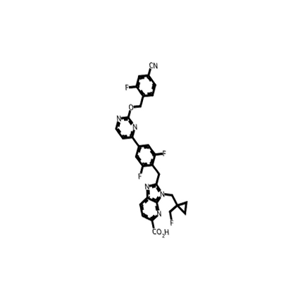 N#Cc1ccc(COc2nccc(-c3cc(F)c(Cc4nc5ccc(C(=O)O)nc5n4CC4(CF)CC4)c(F)c3)n2)c(F)c1